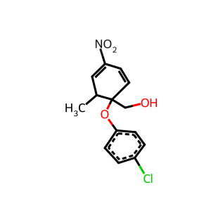 CC1C=C([N+](=O)[O-])C=CC1(CO)Oc1ccc(Cl)cc1